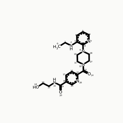 CCNc1cccnc1N1CCN(C(=O)c2ccc(C(=O)NCCO)cn2)CC1